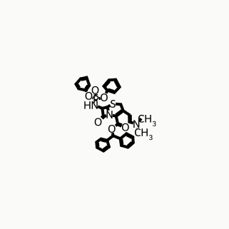 CN(C)C=CC1=C(C(=O)OC(c2ccccc2)c2ccccc2)N2C(=O)C(NP(=O)(Oc3ccccc3)Oc3ccccc3)C2SC1